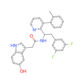 Cc1ccccc1-c1cccnc1C(Cc1cc(F)cc(F)c1)NC(=O)Cc1c[nH]c2ccc(O)cc12